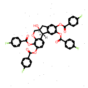 O=C(Oc1cc2c(cc1OC(=O)c1ccc(F)cc1)[C@@H]1c3ccc(OC(=O)c4ccc(F)cc4)c(OC(=O)c4ccc(F)cc4)c3OC[C@]1(O)C2)c1ccc(F)cc1